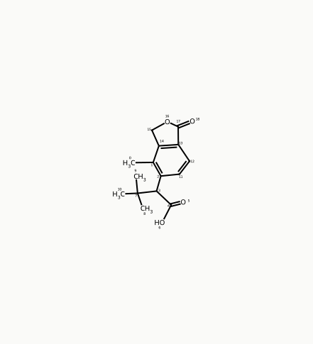 Cc1c(C(C(=O)O)C(C)(C)C)ccc2c1COC2=O